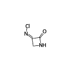 O=C1NCC1=NCl